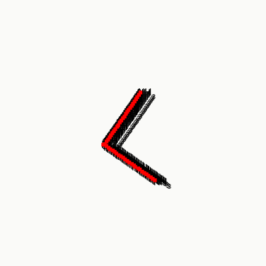 CO.N.N.N.N.N.N.N.N.N.N.N.N.N.N.N.N.N.N.N.N.N.N.N.N.N.N.N.N.N.N.N.N.N.N.N.N.N.N.N.N.N.N.N.N.N.N.N.N.N.N.N.N.N.N.N.N.N.N.N.N.N.N.N.N.N.N.N.N.N.N.N.N.N.N.N.N.N.N.N.N.N.N.N.N.N.N.N.N.N.N.N.N.N.N.N.N.N.N.N